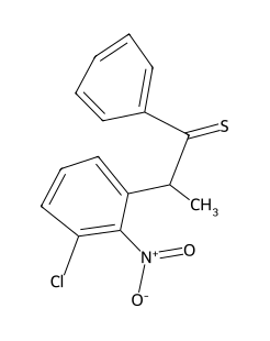 CC(C(=S)c1ccccc1)c1cccc(Cl)c1[N+](=O)[O-]